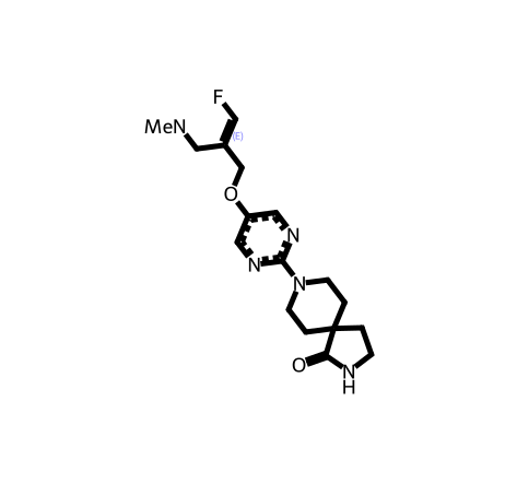 CNC/C(=C\F)COc1cnc(N2CCC3(CCNC3=O)CC2)nc1